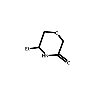 CCC1COCC(=O)N1